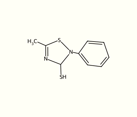 CC1=NC(S)N(c2ccccc2)S1